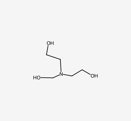 OCCN(CO)CCO